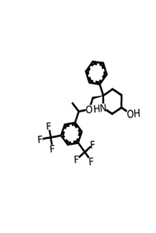 CC(OC[C@@]1(c2ccccc2)CCC(O)CN1)c1cc(C(F)(F)F)cc(C(F)(F)F)c1